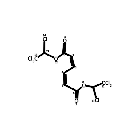 O=C(/C=C\C=C/C(=O)OC(Cl)C(Cl)(Cl)Cl)OC(Cl)C(Cl)(Cl)Cl